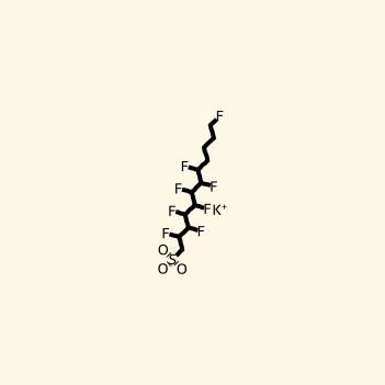 O=S(=O)([O-])CC(F)C(F)C(F)C(F)C(F)C(F)C(F)CCCCF.[K+]